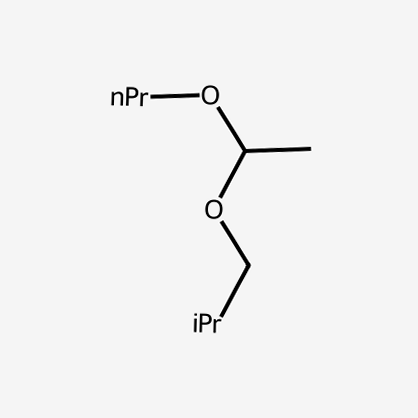 [CH2]CCOC(C)OCC(C)C